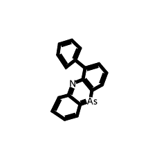 c1ccc(-c2cccc3c2N=c2ccccc2=[As]3)cc1